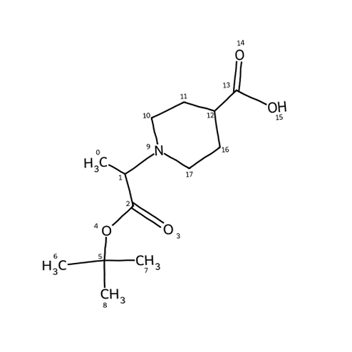 CC(C(=O)OC(C)(C)C)N1CCC(C(=O)O)CC1